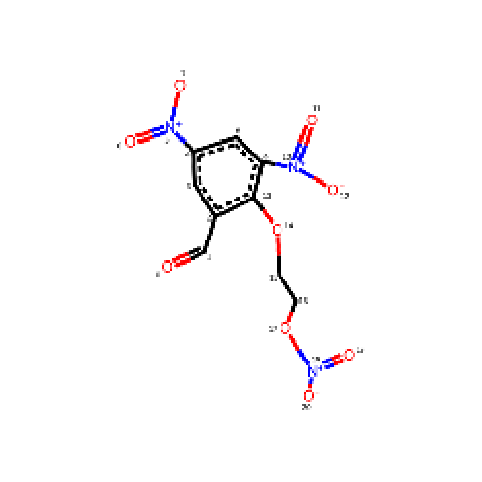 O=Cc1cc([N+](=O)[O-])cc([N+](=O)[O-])c1OCCO[N+](=O)[O-]